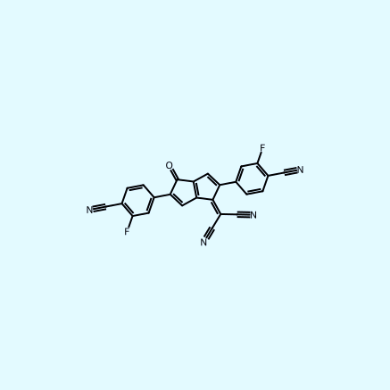 N#CC(C#N)=C1C(c2ccc(C#N)c(F)c2)=CC2=C1C=C(c1ccc(C#N)c(F)c1)C2=O